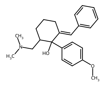 COc1ccc(C2(O)C(=Cc3ccccc3)CCCC2CN(C)C)cc1